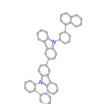 c1ccc(-c2ccccc2-n2c3ccccc3c3cc(-c4ccc5c(c4)c4ccccc4n5-c4cccc(-c5cccc6ccccc56)c4)ccc32)cc1